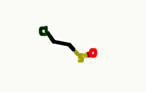 O=[S+]CCCl